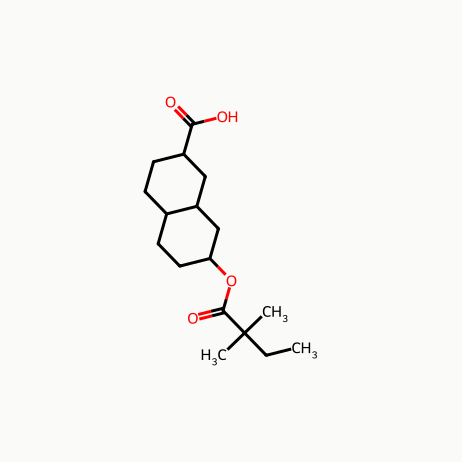 CCC(C)(C)C(=O)OC1CCC2CCC(C(=O)O)CC2C1